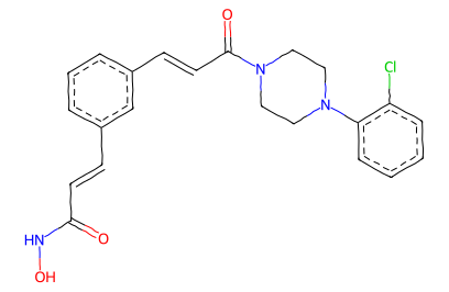 O=C(C=Cc1cccc(C=CC(=O)N2CCN(c3ccccc3Cl)CC2)c1)NO